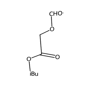 CCC(C)OC(=O)CO[C]=O